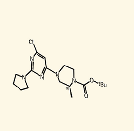 C[C@H]1CN(c2cc(Cl)nc(N3CCCC3)n2)CCN1C(=O)OC(C)(C)C